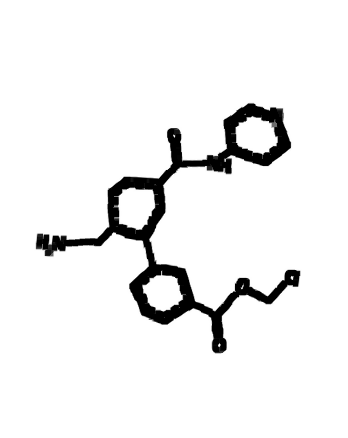 NCc1ccc(C(=O)Nc2ccncc2)cc1-c1cccc(C(=O)OCCl)c1